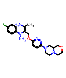 C/C(N)=C(\COc1ccc(N2CCN3CCOCC3C2)nn1)N(N)c1ccc(F)cc1